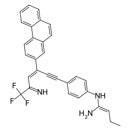 CC/C=C(\N)Nc1ccc(C#C/C(=C\C(=N)C(F)(F)F)c2ccc3c(ccc4ccccc43)c2)cc1